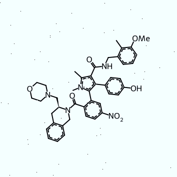 COc1cccc(CNC(=O)c2c(-c3ccc(O)cc3)c(-c3cc([N+](=O)[O-])ccc3C(=O)N3Cc4ccccc4C[C@H]3CN3CCOCC3)n(C)c2C)c1C